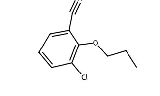 CCCOc1c(Cl)cccc1C#N